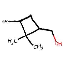 [CH2]C(C)C1CC(CO)C1(C)C